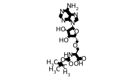 CC(C)(C)OC(=O)N[C@@H](COC[C@H]1O[C@@H](n2cnc3c(N)ncnc32)[C@@H](O)C1O)C(=O)O